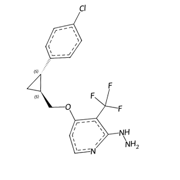 NNc1nccc(OC[C@H]2C[C@@H]2c2ccc(Cl)cc2)c1C(F)(F)F